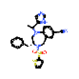 CC(c1cnc[nH]1)N1C[C@@H](Cc2ccccc2)N(S(=O)(=O)c2cccs2)Cc2cc(C#N)ccc21